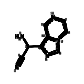 N#CC(N)c1ncn2ccncc12